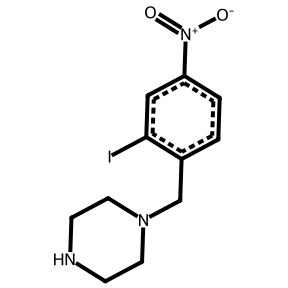 O=[N+]([O-])c1ccc(CN2CCNCC2)c(I)c1